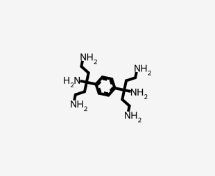 NCCC(N)(CCN)c1ccc(C(N)(CCN)CCN)cc1